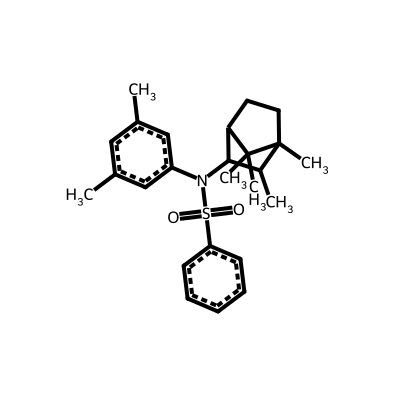 Cc1cc(C)cc(N(C2C3CCC(C)(C2C)C3(C)C)S(=O)(=O)c2ccccc2)c1